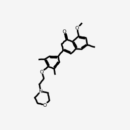 COc1cc(C)cc2c1C(=O)CC(c1cc(C)c(OCCN3CCOCC3)c(C)c1)=C2